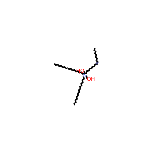 CCCCCCCC/C=C\CCCCCCCCC(CO)(CCCCCCCCCCCCCCCCCC)N(CCO)CCCCCCCCCCCCCCCCCC